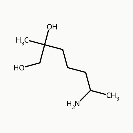 CC(N)CCCC(C)(O)CO